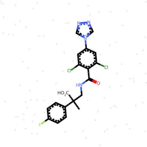 CC(CNC(=O)c1c(Cl)cc(-n2cnnc2)cc1Cl)(C(=O)O)c1ccc(F)cc1